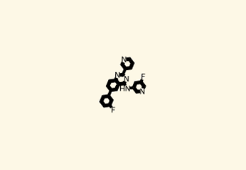 Fc1cncc(Nc2nc(-c3cccnc3)nc3ccc(-c4cccc(F)c4)cc23)c1